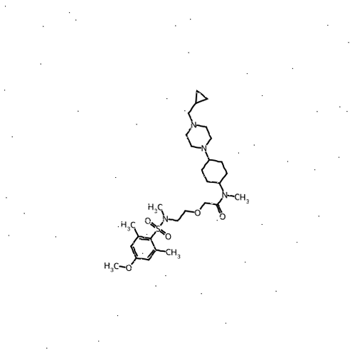 COc1cc(C)c(S(=O)(=O)N(C)CCOCC(=O)N(C)C2CCC(N3CCN(CC4CC4)CC3)CC2)c(C)c1